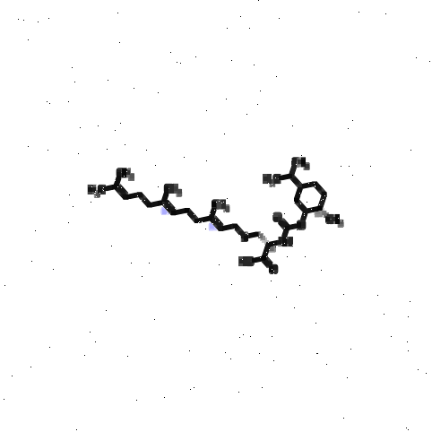 CC(C)=CCC/C(C)=C/CC/C(C)=C/CSC[C@H](NC(=O)OC1CC(C(C)C)CC[C@@H]1C)C(=O)O